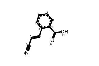 N#CC=Cc1ccccc1C(=O)O